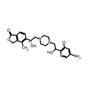 Cc1c([C@@H](O)CN2CCN(CC(O)c3ncc(N)cc3Cl)CC2)ccc2c1COC2=O